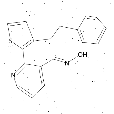 ON=Cc1cccnc1-c1sccc1CCc1ccccc1